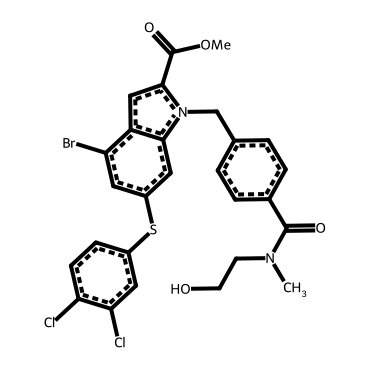 COC(=O)c1cc2c(Br)cc(Sc3ccc(Cl)c(Cl)c3)cc2n1Cc1ccc(C(=O)N(C)CCO)cc1